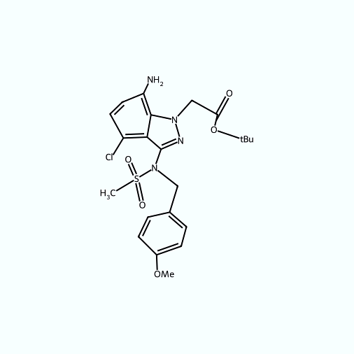 COc1ccc(CN(c2nn(CC(=O)OC(C)(C)C)c3c(N)ccc(Cl)c23)S(C)(=O)=O)cc1